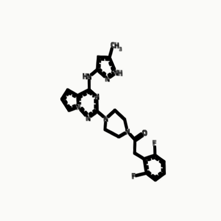 Cc1cc(Nc2nc(N3CCN(C(=O)Cc4c(F)cccc4F)CC3)nn3cccc23)n[nH]1